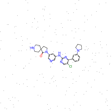 O=C1N(c2cncc(Nc3ncc(Cl)c(-c4cccc(N5CCCC5)c4)n3)c2)CCC12CCNCC2